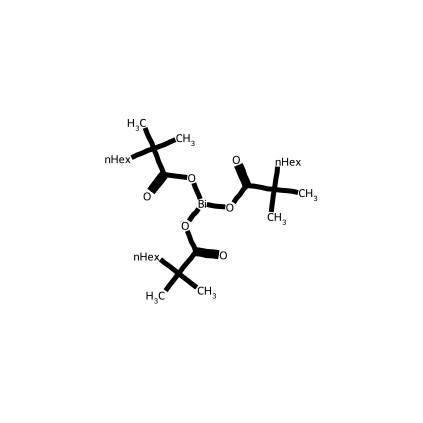 CCCCCCC(C)(C)C(=O)[O][Bi]([O]C(=O)C(C)(C)CCCCCC)[O]C(=O)C(C)(C)CCCCCC